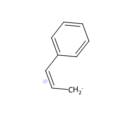 [CH2]/C=C\c1ccccc1